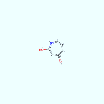 O=c1cccnc(O)c1